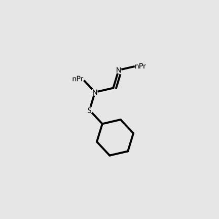 CCCN=CN(CCC)SC1CCCCC1